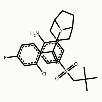 CC(C)(C)CS(=O)(=O)c1cnc(N)c(N2C3CCC2CN(C(=O)c2ccc(F)cc2Cl)C3)c1